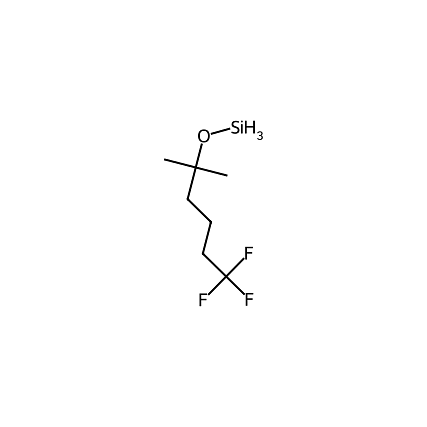 CC(C)(CCCC(F)(F)F)O[SiH3]